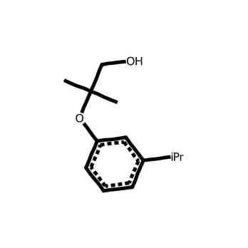 CC(C)c1cccc(OC(C)(C)CO)c1